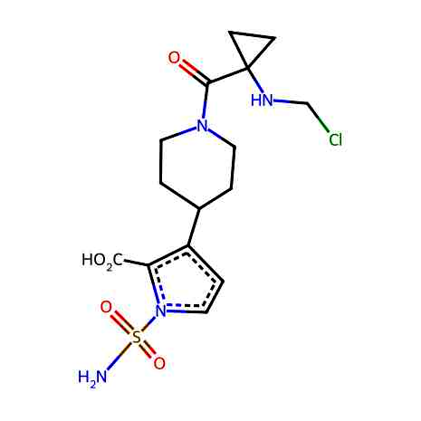 NS(=O)(=O)n1ccc(C2CCN(C(=O)C3(NCCl)CC3)CC2)c1C(=O)O